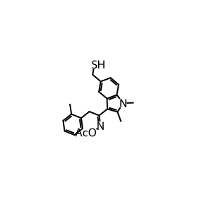 CC(=O)O/N=C(\Cc1ccccc1C)c1c(C)n(C)c2ccc(CS)cc12